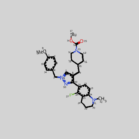 COc1ccc(Cn2cc(CC3CCN(C(=O)OC(C)(C)C)CC3)c(-c3ccc4c(c3F)CCCN4C)n2)cc1